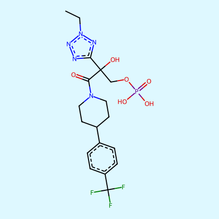 CCn1nnc(C(O)(COP(=O)(O)O)C(=O)N2CCC(c3ccc(C(F)(F)F)cc3)CC2)n1